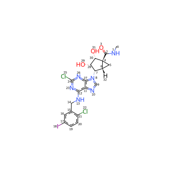 CNC(=O)[C@@]12C[C@@H]1[C@H](n1cnc3c(NCc4cc(I)ccc4Cl)nc(Cl)nc31)[C@H](O)[C@@H]2O